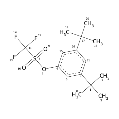 CC(C)(C)c1cc(OS(=O)(=O)C(F)(F)F)cc(C(C)(C)C)c1